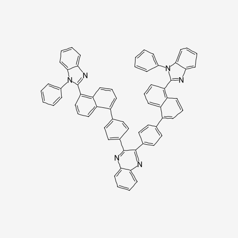 c1ccc(-n2c(-c3cccc4c(-c5ccc(-c6nc7ccccc7nc6-c6ccc(-c7cccc8c(-c9nc%10ccccc%10n9-c9ccccc9)cccc78)cc6)cc5)cccc34)nc3ccccc32)cc1